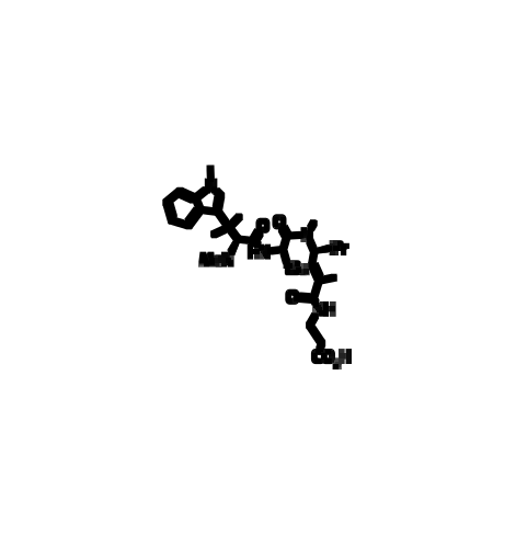 CN[C@H](C(=O)NC(C(=O)N(C)[C@H](/C=C(\C)C(=O)NCCC(=O)O)C(C)C)C(C)(C)C)C(C)(C)c1cn(C)c2ccccc12